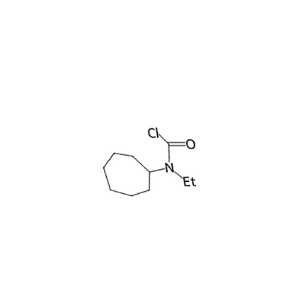 CCN(C(=O)Cl)C1CCCCCC1